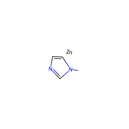 Cn1ccnc1.[Zn]